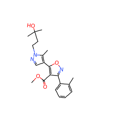 COC(=O)c1c(-c2ccccc2C)noc1-c1cnn(CCC(C)(C)O)c1C